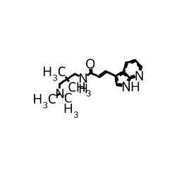 CN(C)CC(C)(C)CNC(=O)C=Cc1c[nH]c2ncccc12